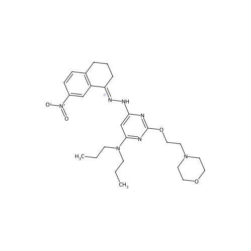 CCCN(CCC)c1cc(N/N=C2\CCCc3ccc([N+](=O)[O-])cc32)nc(OCCN2CCOCC2)n1